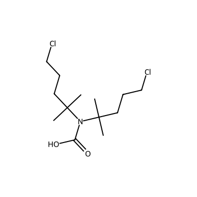 CC(C)(CCCCl)N(C(=O)O)C(C)(C)CCCCl